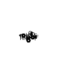 CCN1CCC[C@@H](Nc2nnc(-c3ccc(C(F)(F)F)cc3NS(C)(=O)=O)c3c2CCCC3)C1